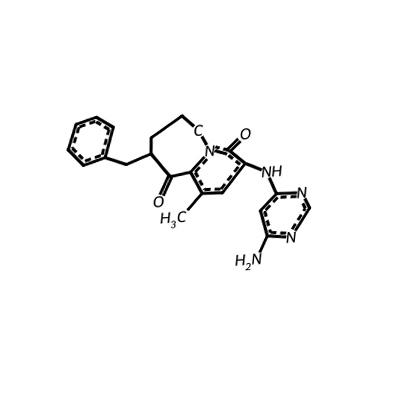 Cc1cc(Nc2cc(N)ncn2)c(=O)n2c1C(=O)C(Cc1ccccc1)CCC2